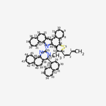 C=C/C=C\c1sc2c3ccccc3c3c4ccc5ccccc5c4n(-c4nc(-c5cccc6ccccc56)c5ccc6ccccc6c5n4)c3c2c1C